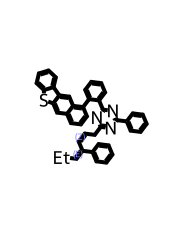 CC/C=C(\C=C/Cc1nc(-c2ccccc2)nc(-c2ccccc2-c2cccc3cc4sc5ccccc5c4cc23)n1)c1ccccc1